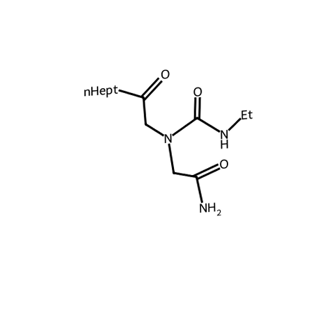 CCCCCCCC(=O)CN(CC(N)=O)C(=O)NCC